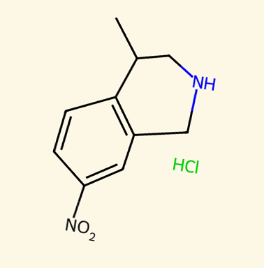 CC1CNCc2cc([N+](=O)[O-])ccc21.Cl